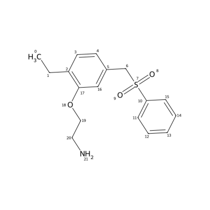 CCc1ccc(CS(=O)(=O)c2ccccc2)cc1OCCN